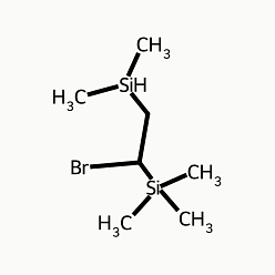 C[SiH](C)CC(Br)[Si](C)(C)C